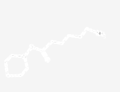 NCCCCCC(=O)ON1CCCCC1